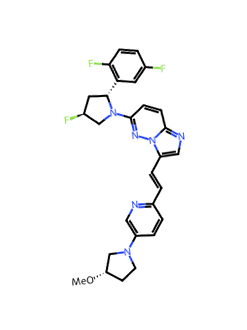 CO[C@H]1CCN(c2ccc(/C=C/c3cnc4ccc(N5C[C@@H](F)C[C@@H]5c5cc(F)ccc5F)nn34)nc2)C1